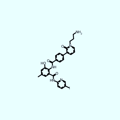 Cc1cc(O)c(NC(=O)c2ccc(-c3cccn(CCCN)c3=O)cc2)c(C(=O)Nc2ccc(I)cn2)c1